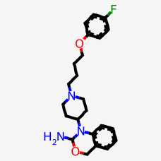 NC1OCc2ccccc2N1C1CCN(CCCCOc2ccc(F)cc2)CC1